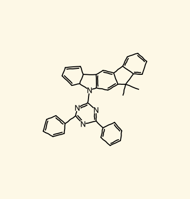 CC1(C)c2ccccc2-c2cc3c(cc21)N(c1nc(-c2ccccc2)nc(-c2ccccc2)n1)C1C=CC=CC31